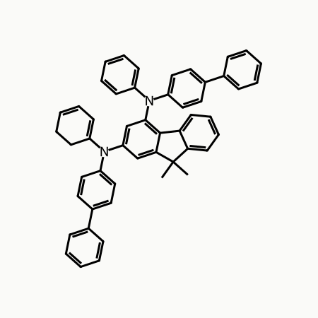 CC1(C)c2ccccc2-c2c(N(c3ccccc3)c3ccc(-c4ccccc4)cc3)cc(N(C3=CC=CCC3)c3ccc(-c4ccccc4)cc3)cc21